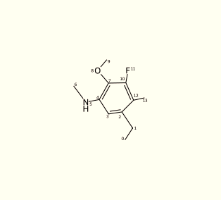 CCc1cc(NC)c(OC)c(F)c1C